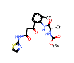 CC[C@H](NC(=O)OC(C)(C)C)C(=O)Nc1c(C(=O)CC(=O)Nc2nccs2)cccc1C(F)(F)F